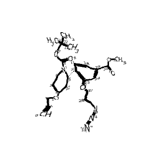 C#CCO[C@H]1CCN(C(=O)OC(C)(C)C)[C@H](c2ccc(C(=O)OC)cc2OCCN=[N+]=[N-])C1